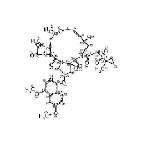 CC[C@@H]1C[C@H](C)CCC=C[C@@H]2C[C@@]2(C(=O)NS(=O)(=O)C2(C)CC2)NC(=O)[C@@H]2C[C@@H](Oc3ncc(OC)c4cc(OC)ccc34)CN2C(=O)[C@H]1NC(=O)O